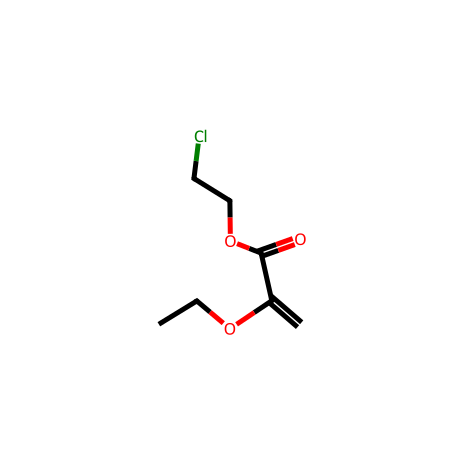 C=C(OCC)C(=O)OCCCl